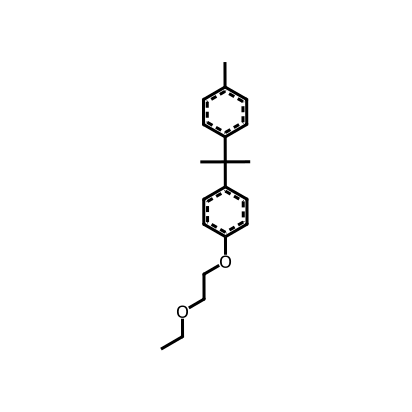 CCOCCOc1ccc(C(C)(C)c2ccc(C)cc2)cc1